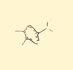 Cc1sc(B(O)O)cc1Br